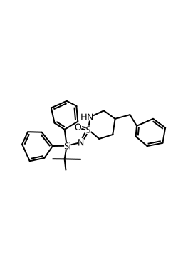 CC(C)(C)[Si](N=S1(=O)CCC(Cc2ccccc2)CN1)(c1ccccc1)c1ccccc1